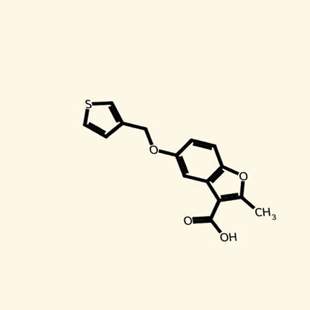 Cc1oc2ccc(OCc3ccsc3)cc2c1C(=O)O